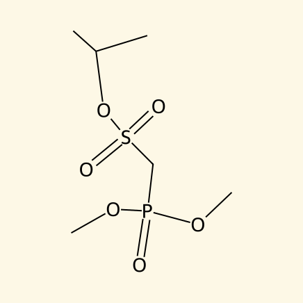 COP(=O)(CS(=O)(=O)OC(C)C)OC